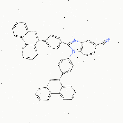 N#Cc1ccc2c(c1)nc(-c1ccc(-c3cc4ccccc4c4ccccc34)cc1)n2-c1ccc(-c2cc3ccccc3c3ccccc23)cc1